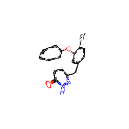 CCc1ccc(Cc2ccc(=O)[nH]n2)cc1Oc1ccccc1